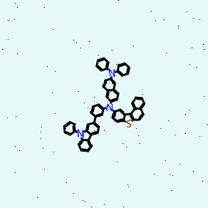 c1ccc(N(c2ccccc2)c2ccc3cc(N(c4cccc(-c5ccc6c7ccccc7n(-c7ccccc7)c6c5)c4)c4ccc5sc6ccc7ccccc7c6c5c4)ccc3c2)cc1